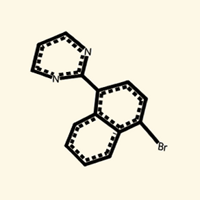 Brc1ccc(-c2ncccn2)c2ccccc12